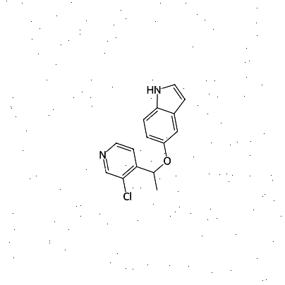 CC(Oc1ccc2[nH]ccc2c1)c1ccncc1Cl